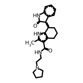 Cc1[nH]c2c(c1C(=O)NCCN1CCCC1)CCC/C2=C1/C(=O)Nc2ccccc21